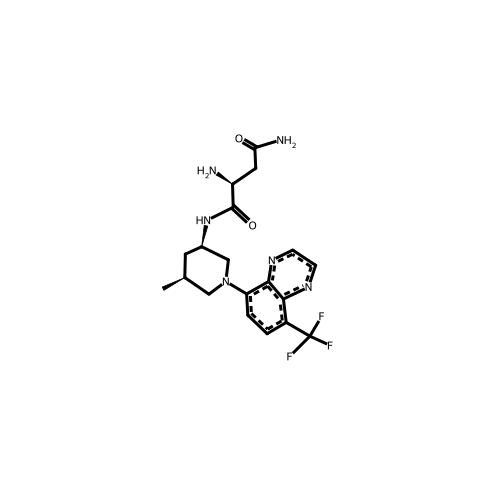 C[C@H]1C[C@@H](NC(=O)[C@@H](N)CC(N)=O)CN(c2ccc(C(F)(F)F)c3nccnc23)C1